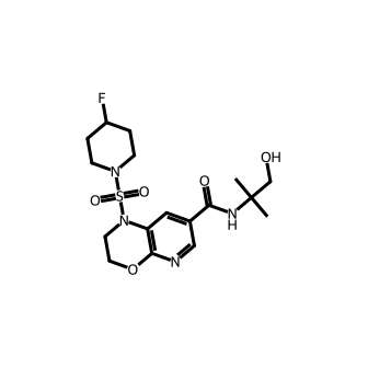 CC(C)(CO)NC(=O)c1cnc2c(c1)N(S(=O)(=O)N1CCC(F)CC1)CCO2